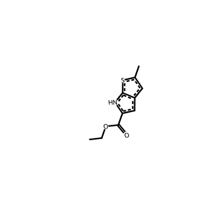 CCOC(=O)c1cc2cc(C)sc2[nH]1